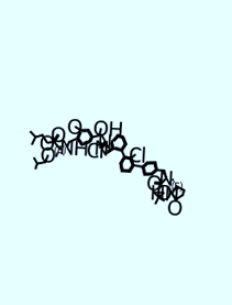 COc1cc(C(O)n2ncc3c(-c4cccc(-c5ccc(CN(C[C@@H]6CCC(=O)N6)C(=O)OC(C)(C)C)cc5)c4Cl)cccc32)c(Cl)cc1CN[C@@H](COCC(C)C)C(=O)OCC(C)C